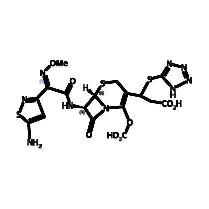 CO/N=C(\C(=O)N[C@@H]1C(=O)N2C(OC(=O)O)=C(C(CC(=O)O)Sc3nnn[nH]3)CS[C@@H]12)c1cc(N)sn1